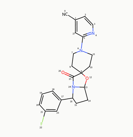 N#Cc1ccnc(N2CCC3(CC2)OC2CCC(c4cccc(F)c4)N2C3=O)c1